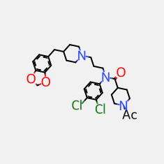 CC(=O)N1CCC(C(=O)N(CCCN2CCC(Cc3ccc4c(c3)OCO4)CC2)c2ccc(Cl)c(Cl)c2)CC1